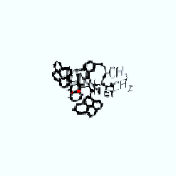 C=C/C(CC)=C1\C=C(/C)CCc2ccc(CC)c(c2)C2(N=C(c3ccccc3)C(c3ccc4ccc5cccc6ccc3c4c56)=N2)n2c1nc(-c1cc3cccc4ccc5cccc1c5c43)c2-c1ccccc1